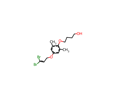 Cc1cc(OCC=C(Br)Br)cc(C)c1OCCCCO